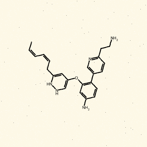 C/C=C\C=C/CC1=CC(Oc2cc(N)ccc2-c2ccc(CCN)nc2)=CNN1